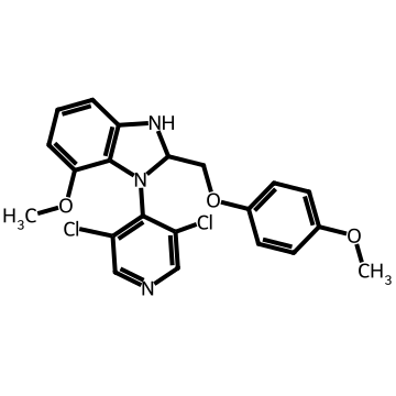 COc1ccc(OCC2Nc3cccc(OC)c3N2c2c(Cl)cncc2Cl)cc1